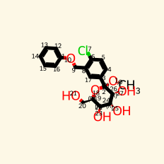 CO[C@]1(c2ccc(Cl)c(COc3ccccc3)c2)O[C@H](CO)[C@H](O)[C@@H](O)[C@H]1O